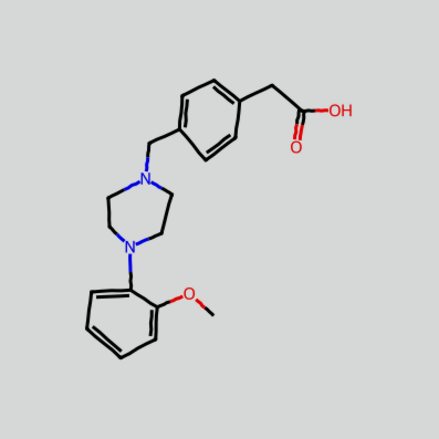 COc1ccccc1N1CCN(Cc2ccc(CC(=O)O)cc2)CC1